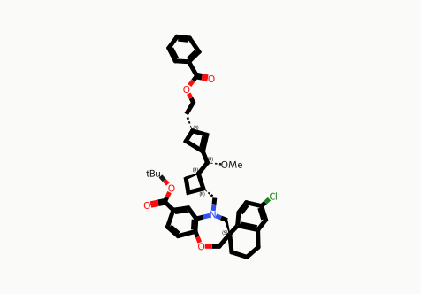 CO[C@@H](C1=C[C@@H](CCOC(=O)c2ccccc2)C1)[C@@H]1CC[C@H]1CN1C[C@@]2(CCCc3cc(Cl)ccc32)COc2ccc(C(=O)OC(C)(C)C)cc21